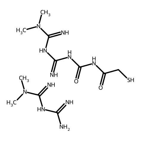 CN(C)C(=N)NC(=N)N.CN(C)C(=N)NC(=N)NC(=O)NC(=O)CS